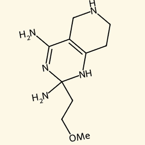 COCCC1(N)N=C(N)C2=C(CCNC2)N1